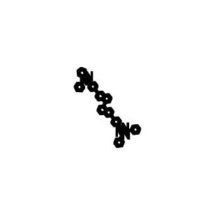 c1ccc(-c2nc(-c3ccccc3)nc(-c3ccc(-c4ccc5c(-c6cccc7cc(-c8ccc(-c9nc%10ccccc%10n9-c9ccccc9)cc8)ccc67)cccc5c4)cc3)n2)cc1